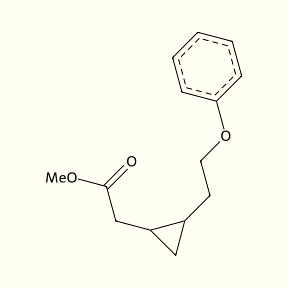 COC(=O)CC1CC1CCOc1ccccc1